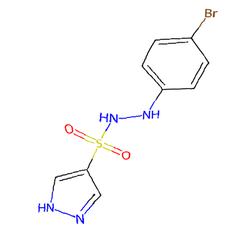 O=S(=O)(NNc1ccc(Br)cc1)c1cn[nH]c1